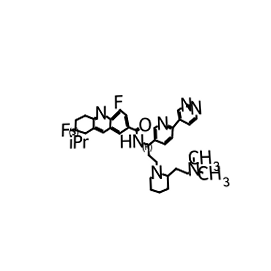 CC(C)[C@]1(F)CCc2nc3c(F)cc(C(=O)N[C@H](CCN4CCCCC4CCN(C)C)c4ccc(-c5ccnnc5)nc4)cc3cc2C1